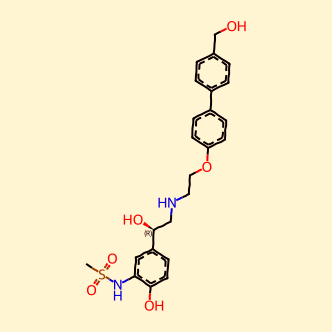 CS(=O)(=O)Nc1cc([C@@H](O)CNCCOc2ccc(-c3ccc(CO)cc3)cc2)ccc1O